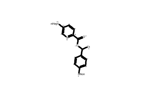 CCCCCCCCCc1ccc(C(CC)OC(=O)c2ccc(CCCCCCC)cn2)cc1